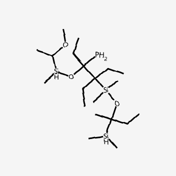 CCC(C)(O[Si](C)(C)C(CC)(CC)C(P)(CC)O[SiH](C)C(C)OC)[SiH](C)C